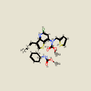 C=C=Cc1c([C@H]2CC=CC[C@@H]2NC(=O)OC(C)(C)C)sc2c(N(Cc3cccs3)C(=O)OC(C)(C)C)cc(Cl)nc12